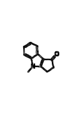 Cn1c2c(c3ccccc31)C(=O)CC2